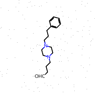 O=[C]CCCN1CCN(CCCc2ccccc2)CC1